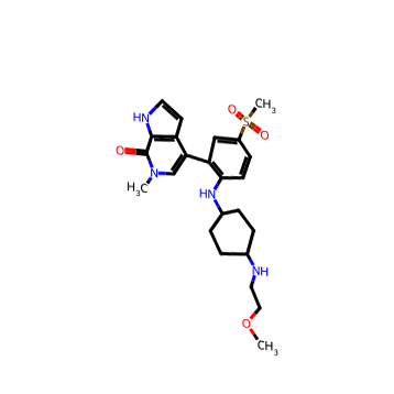 COCCNC1CCC(Nc2ccc(S(C)(=O)=O)cc2-c2cn(C)c(=O)c3[nH]ccc23)CC1